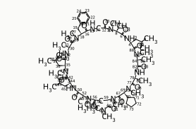 CC(C)C[C@@H]1NC(=O)[C@H](C)N(C)C(=O)CNC(=O)[C@H](Cc2ccccc2)N(C)C(=O)[C@H](C)NC(=O)[C@H](CC(C)C)N(C)C(=O)[C@H](CC(C)C)NC(=O)[C@H](C)N(C)C(=O)C[C@@H](C(=O)N(C)C)N(C)C(=O)[C@H](C2CCCC2)N(C)C(=O)[C@H](C)NC(=O)[C@H](C)N(C)C1=O